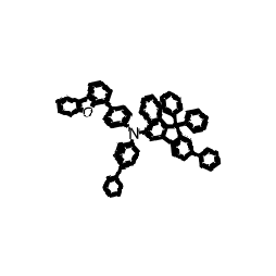 c1ccc(-c2ccc(N(c3ccc(-c4cccc5c4oc4ccccc45)cc3)c3cc4c(c5ccccc35)C(c3ccccc3)(c3ccccc3)c3cc(-c5ccccc5)ccc3-4)cc2)cc1